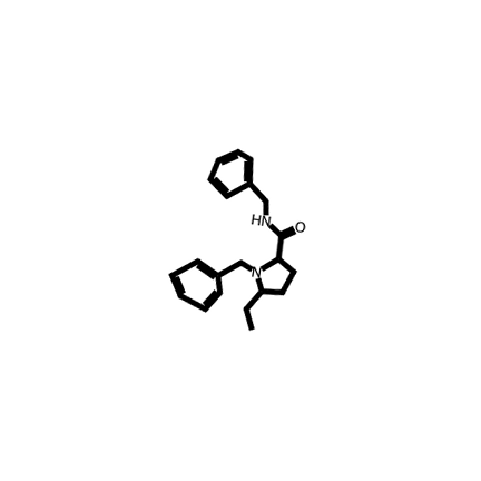 CCC1CCC(C(=O)NCc2ccccc2)N1Cc1ccccc1